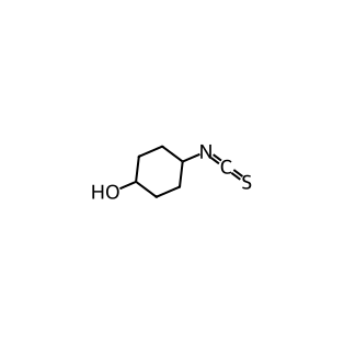 OC1CCC(N=C=S)CC1